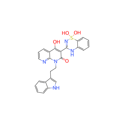 O=c1c(C2=NS(O)(O)c3ccccc3N2)c(O)c2cccnc2n1CCc1c[nH]c2ccccc12